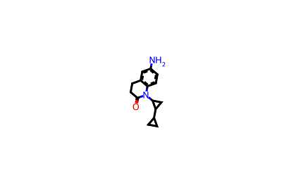 Nc1ccc2c(c1)CCC(=O)N2C1CC1C1CC1